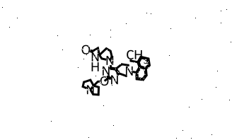 CCc1cccc2cccc(N3CCc4c(nc(OCC56CCCN5CCC6)nc4N4CCCC5(CC(=O)N5)C4)C3)c12